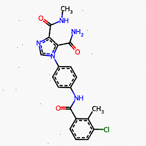 CNC(=O)c1ncn(-c2ccc(NC(=O)c3cccc(Cl)c3C)cc2)c1C(N)=O